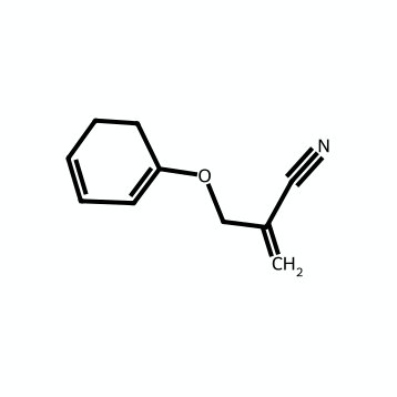 C=C(C#N)COC1=CC=CCC1